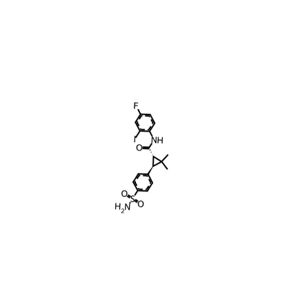 CC1(C)[C@@H](C(=O)Nc2ccc(F)cc2I)[C@@H]1c1ccc(S(N)(=O)=O)cc1